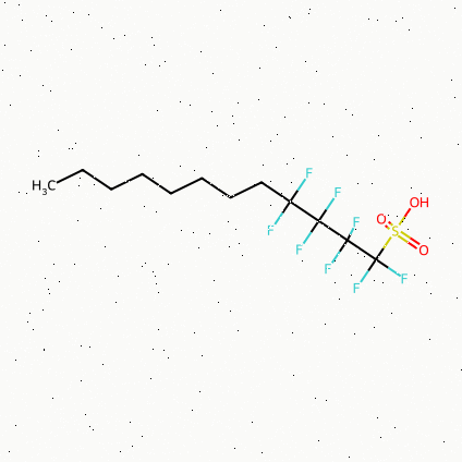 CCCCCCCCC(F)(F)C(F)(F)C(F)(F)C(F)(F)S(=O)(=O)O